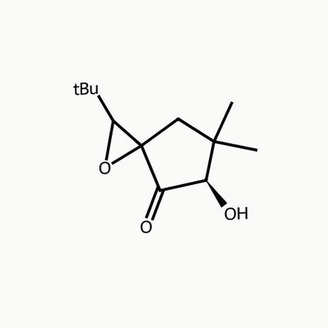 CC(C)(C)C1OC12CC(C)(C)[C@@H](O)C2=O